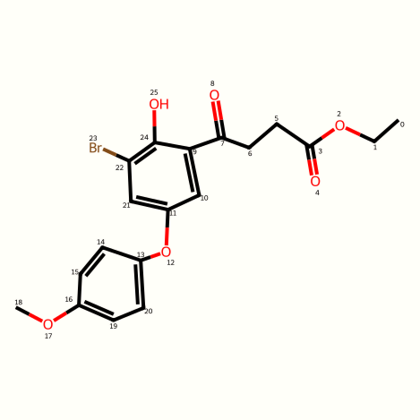 CCOC(=O)CCC(=O)c1cc(Oc2ccc(OC)cc2)cc(Br)c1O